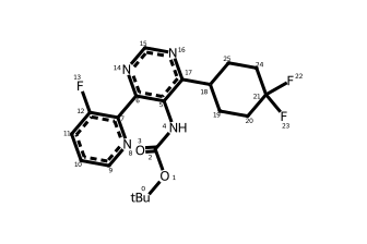 CC(C)(C)OC(=O)Nc1c(-c2ncccc2F)ncnc1C1CCC(F)(F)CC1